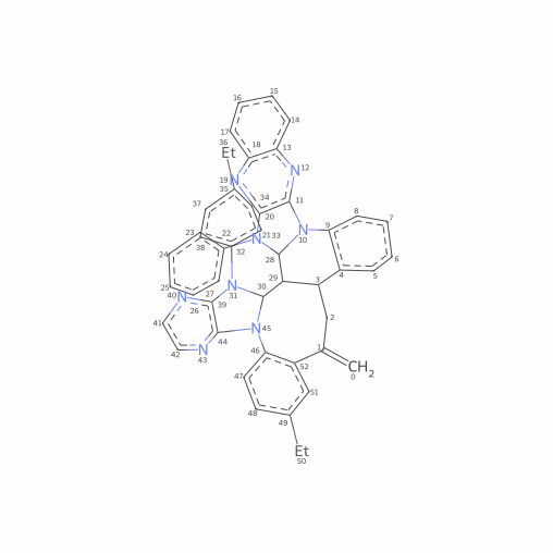 C=C1CC2c3ccccc3N3c4nc5ccccc5nc4N(c4ccccc4)C3C2C2N(c3ccc(CC)cc3)c3nccnc3N2c2ccc(CC)cc21